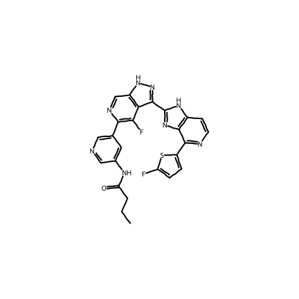 CCCC(=O)Nc1cncc(-c2ncc3[nH]nc(-c4nc5c(-c6ccc(F)s6)nccc5[nH]4)c3c2F)c1